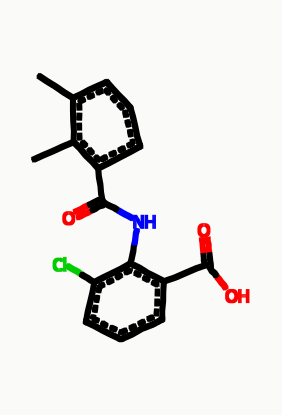 Cc1cccc(C(=O)Nc2c(Cl)cccc2C(=O)O)c1C